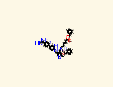 Cc1ncc(CNc2ccc(-c3ccc(C(=N)N)cc3)cc2)c(CNCCCCCC(=O)OCc2ccccc2)c1OCc1ccccc1